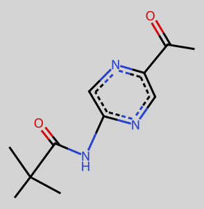 CC(=O)c1cnc(NC(=O)C(C)(C)C)cn1